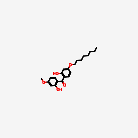 CCCCCCCCOc1ccc(C(=O)c2ccc(OC)cc2O)c(O)c1